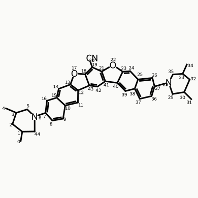 CC1CC(C)CN(c2ccc3cc4c(cc3c2)oc2c(C#N)c3oc5cc6cc(N7CC(C)CC(C)C7)ccc6cc5c3cc24)C1